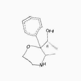 CC1NCCOC1(c1ccccc1)[C@@H](C)O